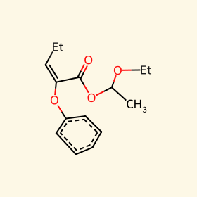 CCC=C(Oc1ccccc1)C(=O)OC(C)OCC